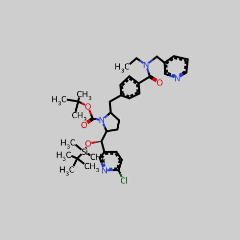 CCN(Cc1cccnc1)C(=O)c1ccc(CC2CCC([C@H](O[Si](C)(C)C(C)(C)C)c3ccc(Cl)nc3)N2C(=O)OC(C)(C)C)cc1